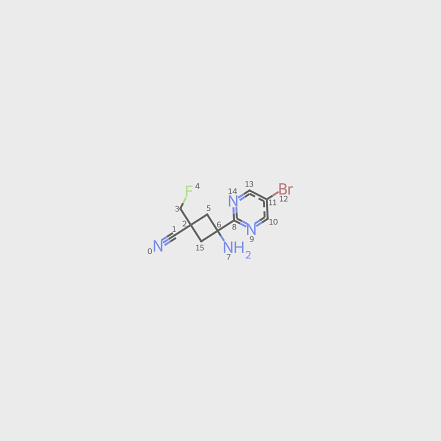 N#CC1(CF)CC(N)(c2ncc(Br)cn2)C1